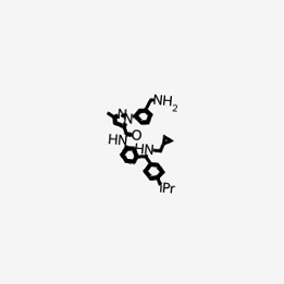 Cc1cc(C(=O)Nc2cccc(C(NCC3CC3)c3ccc(C(C)C)cc3)c2)n(-c2cccc(CN)c2)n1